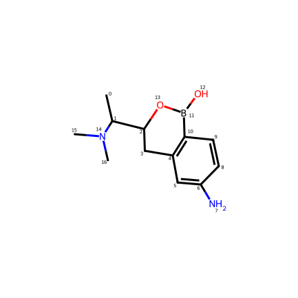 CC(C1Cc2cc(N)ccc2B(O)O1)N(C)C